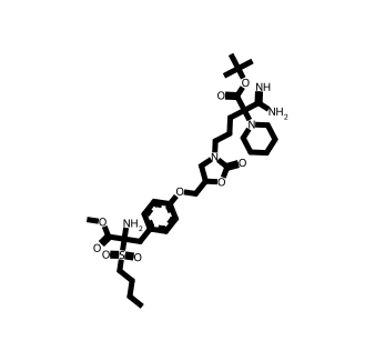 CCCCS(=O)(=O)C(N)(Cc1ccc(OCC2CN(CCCC(C(=N)N)(C(=O)OC(C)(C)C)N3CCCCC3)C(=O)O2)cc1)C(=O)OC